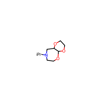 CC(C)N1CCOC2OCCOC2C1